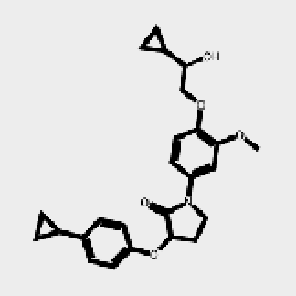 COc1cc(N2CCC(Oc3ccc(C4CC4)cc3)C2=O)ccc1OC[C@H](O)C1CC1